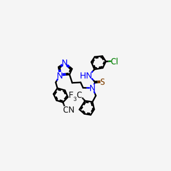 N#Cc1ccc(Cn2cncc2CCCN(Cc2ccccc2C(F)(F)F)C(=S)Nc2cccc(Cl)c2)cc1